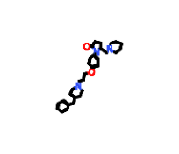 O=C1CCC(CN2CCCCC2)N1c1ccc(OCCCN2CCC(Cc3ccccc3)CC2)cc1